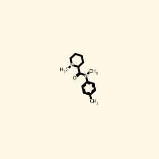 Cc1ccc(N(C)C(=O)C2CCCCN2C)cc1